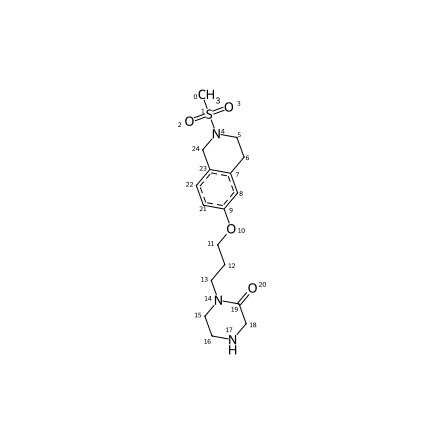 CS(=O)(=O)N1CCc2cc(OCCCN3CCNCC3=O)ccc2C1